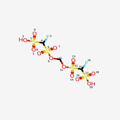 O=S(=O)(O)C(F)S(=O)(=O)OCOS(=O)(=O)C(F)S(=O)(=O)O